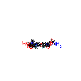 C[C@H](N)C(=O)OC[C@H]1CN(c2ccc(OCC3CCN(c4cc5c(cc4F)c(=O)c(C(=O)O)cn5C4CC4)CC3)c(F)c2)C(=O)O1